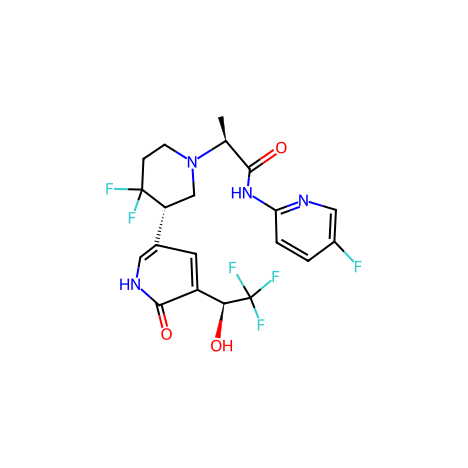 C[C@@H](C(=O)Nc1ccc(F)cn1)N1CCC(F)(F)[C@@H](c2c[nH]c(=O)c([C@H](O)C(F)(F)F)c2)C1